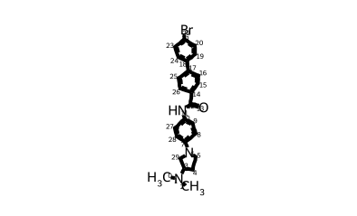 CN(C)C1CCN(c2ccc(NC(=O)c3ccc(-c4ccc(Br)cc4)cc3)cc2)C1